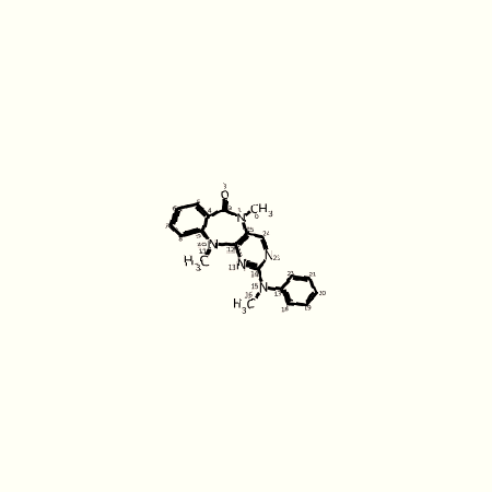 CN1C(=O)c2ccccc2N(C)c2nc(N(C)c3ccccc3)ncc21